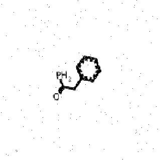 O=C(P)Cc1ccccc1